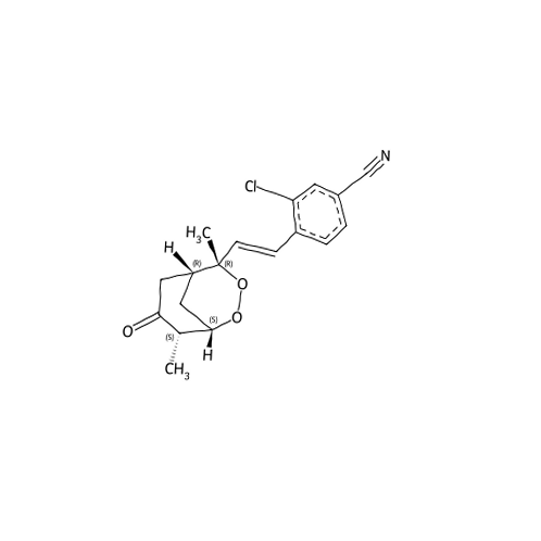 C[C@@H]1C(=O)C[C@H]2C[C@@H]1OO[C@@]2(C)C=Cc1ccc(C#N)cc1Cl